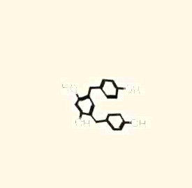 OC1=CC=C(Cc2cc(Cc3ccc(O)cc3)c(O)cc2O)CC1